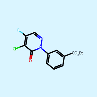 CCOC(=O)c1cccc(-n2ncc(F)c(Cl)c2=O)c1